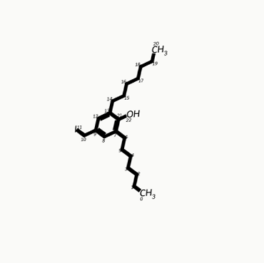 CCCCCCCc1cc(CI)cc(CCCCCCC)c1O